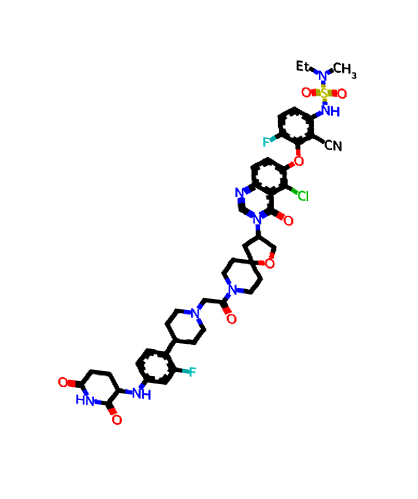 CCN(C)S(=O)(=O)Nc1ccc(F)c(Oc2ccc3ncn(C4COC5(CCN(C(=O)CN6CCC(c7ccc(NC8CCC(=O)NC8=O)cc7F)CC6)CC5)C4)c(=O)c3c2Cl)c1C#N